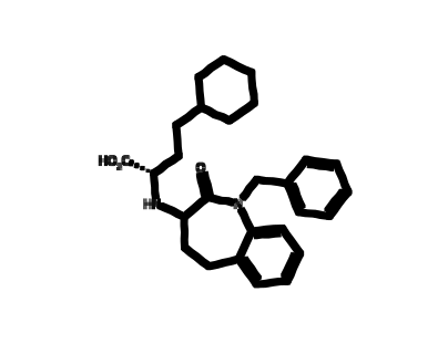 O=C(O)[C@H](CCC1CCCCC1)NC1CCc2ccccc2N(Cc2ccccc2)C1=O